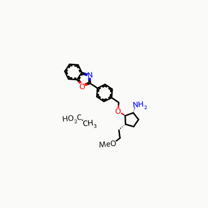 CC(=O)O.COCC[C@H]1CC[C@@H](N)[C@@H]1OCc1ccc(-c2nc3ccccc3o2)cc1